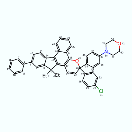 CCC1(CC)c2cc(-c3ccccc3)ccc2-c2c1c1c(c3ccccc23)OC(c2ccc(Cl)cc2)(c2ccc(N3CCOCC3)cc2)C=C1